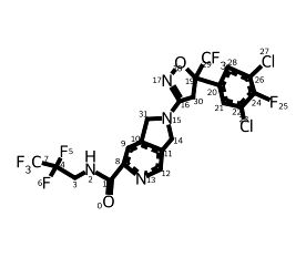 O=C(NCC(F)(F)C(F)(F)F)c1cc2c(cn1)CN(C1=NOC(c3cc(Cl)c(F)c(Cl)c3)(C(F)(F)F)C1)C2